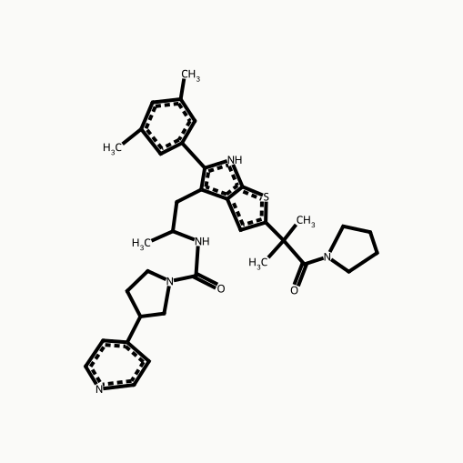 Cc1cc(C)cc(-c2[nH]c3sc(C(C)(C)C(=O)N4CCCC4)cc3c2CC(C)NC(=O)N2CCC(c3ccncc3)C2)c1